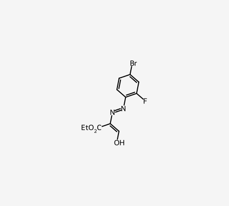 CCOC(=O)C(=CO)N=Nc1ccc(Br)cc1F